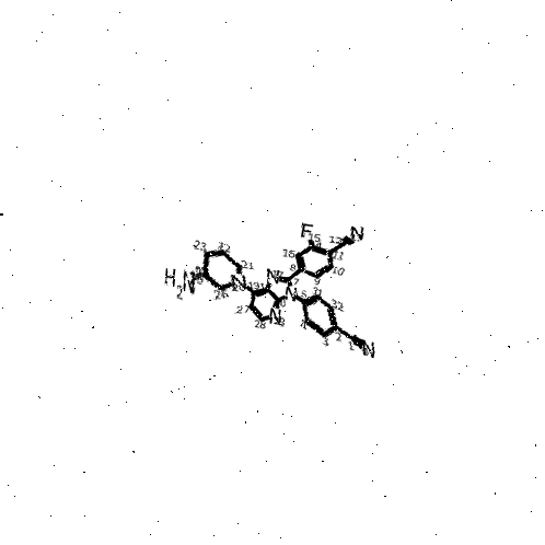 N#Cc1ccc(-n2c(-c3ccc(C#N)c(F)c3)nc3c(N4CCC[C@@H](N)C4)ccnc32)cc1